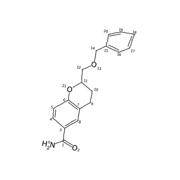 NC(=O)c1ccc2c(c1)CCC(COCc1ccccc1)O2